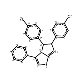 Clc1ccc(C2N=C3SC=C(c4ccccc4)N3C2c2ccc(Cl)cc2)cc1